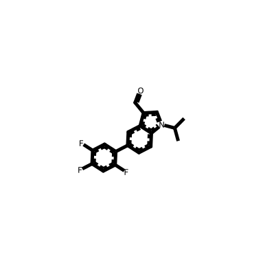 CC(C)n1cc(C=O)c2cc(-c3cc(F)c(F)cc3F)ccc21